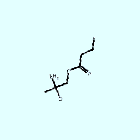 CCCC(=O)OCC(C)(N)[O]